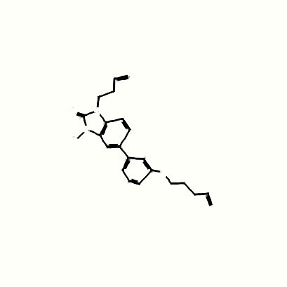 C=CCCCOc1cccc(-c2ccc3c(c2)n(C)c(=O)n3CCC=C)c1